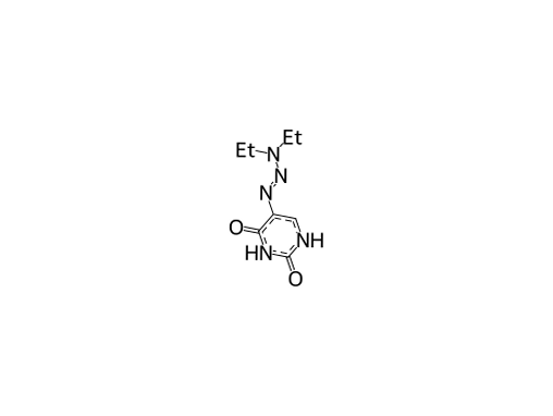 CCN(CC)N=Nc1c[nH]c(=O)[nH]c1=O